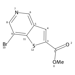 COC(=O)c1cc2cncc(Br)c2s1